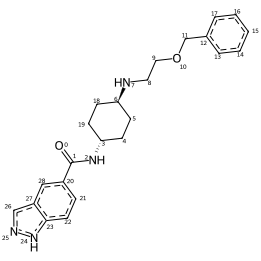 O=C(N[C@H]1CC[C@H](NCCOCc2ccccc2)CC1)c1ccc2[nH]ncc2c1